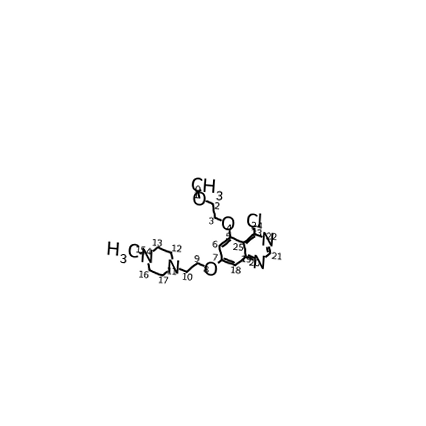 COCCOc1cc(OCCN2CCN(C)CC2)cc2ncnc(Cl)c12